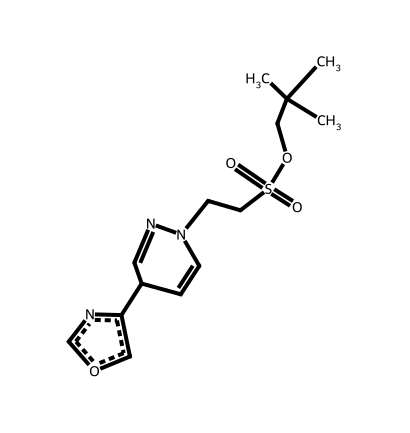 CC(C)(C)COS(=O)(=O)CCN1C=CC(c2cocn2)C=N1